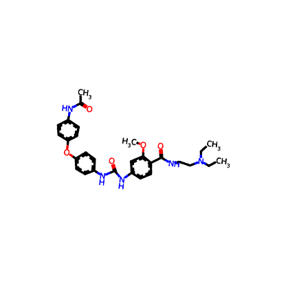 CCN(CC)CCNC(=O)c1ccc(NC(=O)Nc2ccc(Oc3ccc(NC(C)=O)cc3)cc2)cc1OC